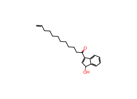 C=CCCCCCCCCCC(=O)C1=CC(O)c2ccccc21